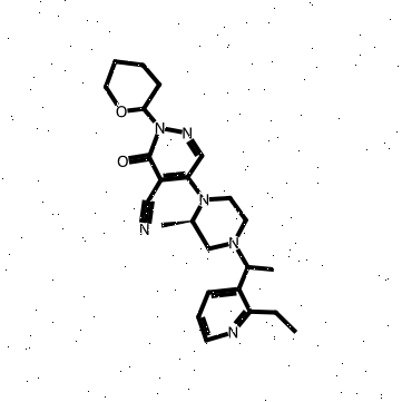 CCc1ncccc1C(C)N1CCN(c2cnn(C3CCCCO3)c(=O)c2C#N)[C@H](C)C1